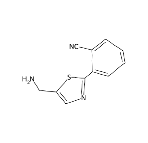 N#Cc1ccccc1-c1ncc(CN)s1